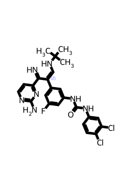 CC(C)(C)N/C=C(\C(=N)c1ccnc(N)n1)c1cc(F)cc(NC(=O)Nc2ccc(Cl)c(Cl)c2)c1